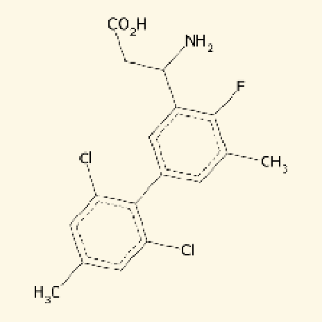 Cc1cc(Cl)c(-c2cc(C)c(F)c(C(N)CC(=O)O)c2)c(Cl)c1